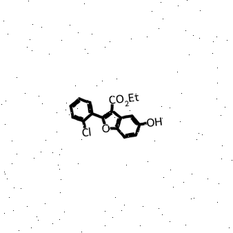 CCOC(=O)c1c(-c2ccccc2Cl)oc2ccc(O)cc12